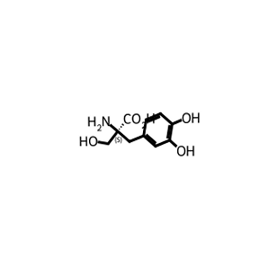 N[C@](CO)(Cc1ccc(O)c(O)c1)C(=O)O